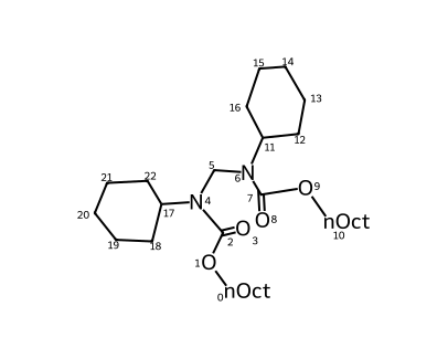 CCCCCCCCOC(=O)N(CN(C(=O)OCCCCCCCC)C1CCCCC1)C1CCCCC1